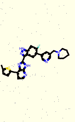 Cc1ccc(-c2ccnc3[nH]c(-c4n[nH]c5cc(F)c(-c6cncc(CN7CCCCC7)c6)cc45)nc23)s1